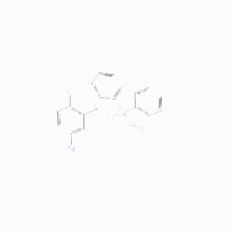 CC(C)(C)[Si](OCc1c(Cl)ccc(N)c1Cl)(c1ccccc1)c1ccccc1